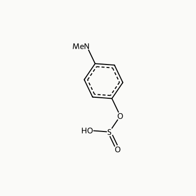 CNc1ccc(OS(=O)O)cc1